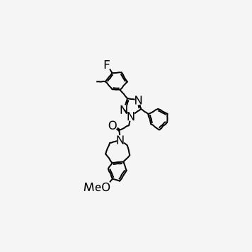 COc1ccc2c(c1)CCN(C(=O)Cn1nc(-c3ccc(F)c(C)c3)nc1-c1ccccc1)CC2